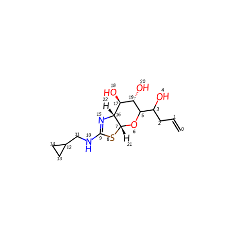 C=CCC(O)C1O[C@@H]2SC(NCC3CC3)=N[C@@H]2[C@@H](O)[C@@H]1O